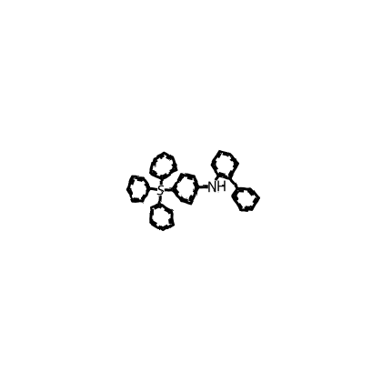 c1ccc(-c2ccccc2Nc2ccc(S(c3ccccc3)(c3ccccc3)c3ccccc3)cc2)cc1